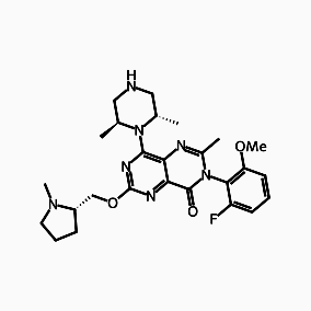 COc1cccc(F)c1-n1c(C)nc2c(N3[C@@H](C)CNC[C@@H]3C)nc(OC[C@@H]3CCCN3C)nc2c1=O